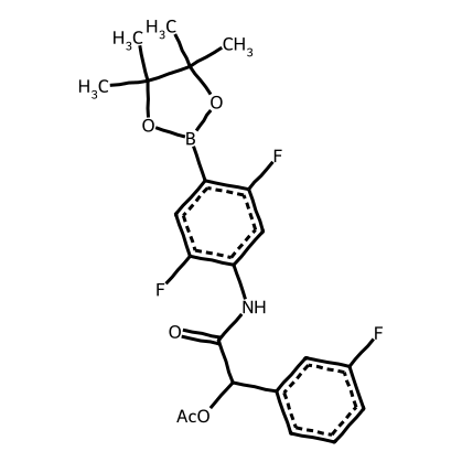 CC(=O)OC(C(=O)Nc1cc(F)c(B2OC(C)(C)C(C)(C)O2)cc1F)c1cccc(F)c1